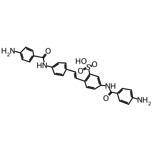 Nc1ccc(C(=O)Nc2ccc(C=Cc3ccc(NC(=O)c4ccc(N)cc4)cc3S(=O)(=O)O)cc2)cc1